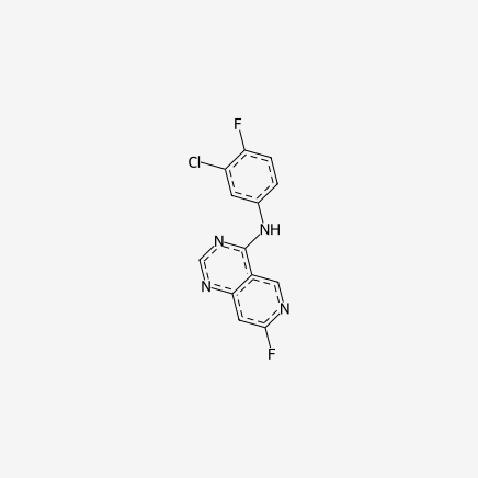 Fc1cc2ncnc(Nc3ccc(F)c(Cl)c3)c2cn1